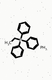 CC[P](c1ccccc1)(c1ccccc1)c1ccccc1.P